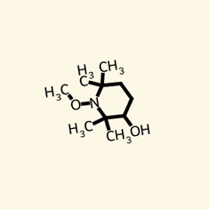 CON1C(C)(C)CCC(O)C1(C)C